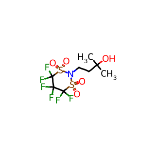 CC(C)(O)CCN1S(=O)(=O)C(F)(F)C(F)(F)C(F)(F)S1(=O)=O